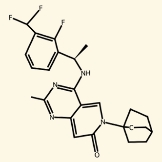 Cc1nc(N[C@H](C)c2cccc(C(F)F)c2F)c2cn(C34CCC(CC3)CC4)c(=O)cc2n1